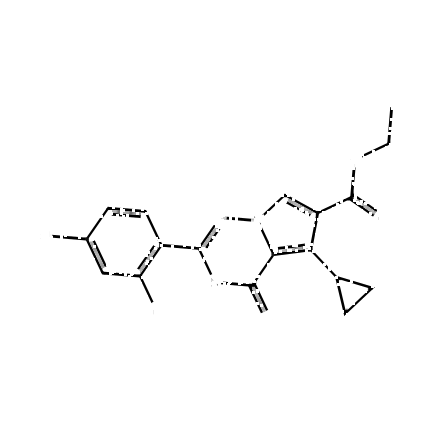 CCOC(=O)c1cn2nc(-c3ccc(Cl)cc3F)[nH]c(=O)c2c1C1CC1